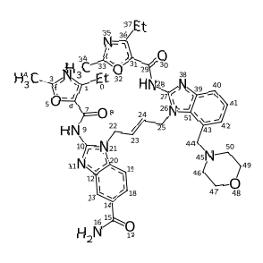 CCc1nc(C)oc1C(=O)Nc1nc2cc(C(N)=O)ccc2n1CC=CCn1c(NC(=O)c2oc(C)nc2CC)nc2cccc(CN3CCOCC3)c21